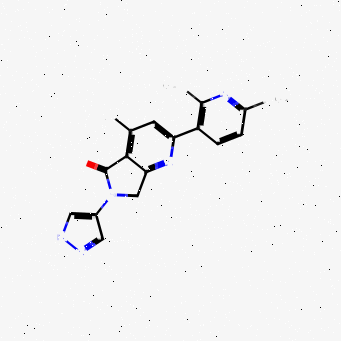 COc1ccc(-c2cc(C)c3c(n2)CN(c2cn[nH]c2)C3=O)c(OC)n1